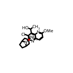 COc1ccc2nc(N3C4CCC3CC(N)C4)c(Cl)c(C(C)O)c2n1